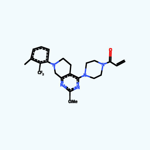 C=CC(=O)N1CCN(c2nc(OC)nc3c2CCN(c2cccc(C)c2C(F)(F)F)C3)CC1